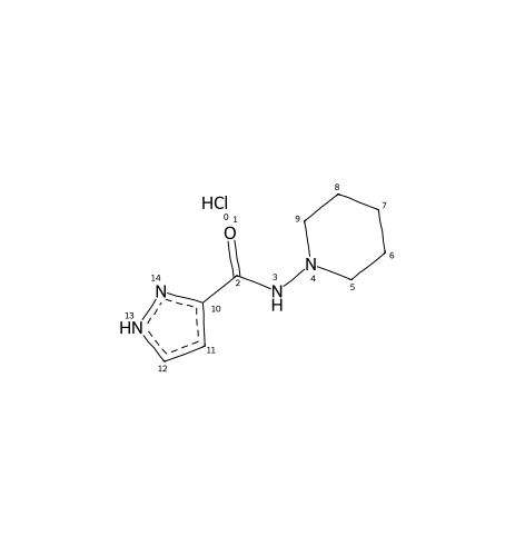 Cl.O=C(NN1CCCCC1)c1cc[nH]n1